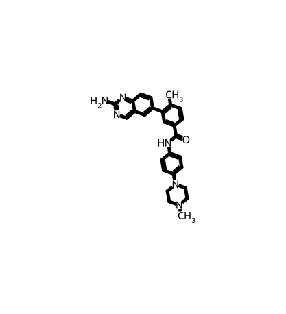 Cc1ccc(C(=O)Nc2ccc(N3CCN(C)CC3)cc2)cc1-c1ccc2nc(N)ncc2c1